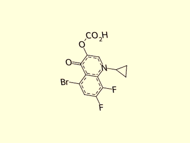 O=C(O)Oc1cn(C2CC2)c2c(F)c(F)cc(Br)c2c1=O